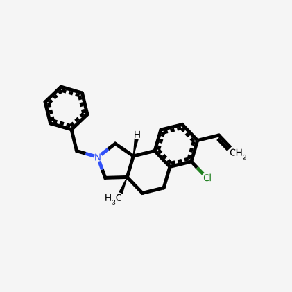 C=Cc1ccc2c(c1Cl)CC[C@]1(C)CN(Cc3ccccc3)C[C@H]21